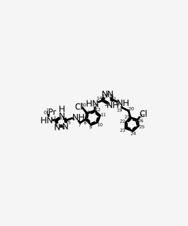 CC(C)Nc1nnc(NCc2cccc(Nc3nnc(NCCc4ccccc4Cl)[nH]3)c2Cl)[nH]1